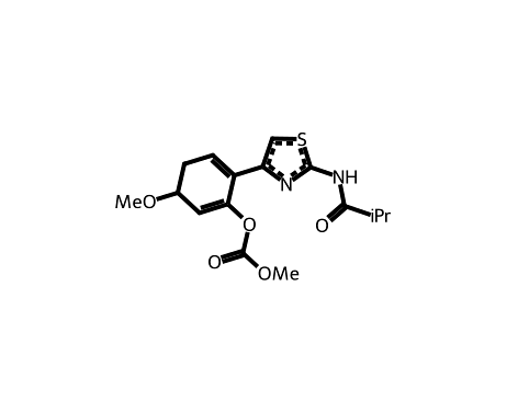 COC(=O)OC1=CC(OC)CC=C1c1csc(NC(=O)C(C)C)n1